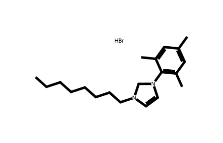 Br.CCCCCCCCN1C=CN(c2c(C)cc(C)cc2C)C1